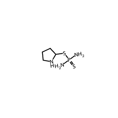 NP(N)(=S)SC1CCCN1